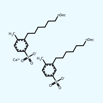 CCCCCCCCCCCCCCCCc1cc(S(=O)(=O)[O-])ccc1C.CCCCCCCCCCCCCCCCc1cc(S(=O)(=O)[O-])ccc1C.[Ca+2]